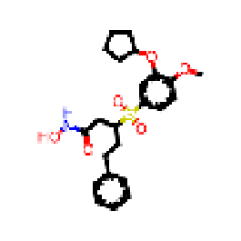 COc1ccc(S(=O)(=O)C(CCc2ccccc2)CC(=O)NO)cc1OC1CCCC1